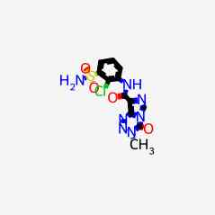 Cn1nnc2c(C(=O)Nc3cccc(S(N)(=O)=O)c3Cl)ncn2c1=O